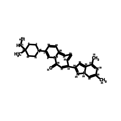 CCNC1(C)CCN(C2=CN3C(=O)\C=C(c4cc5c(C)nc(C)cn5n4)/C=C/C=C/3C=C2)CC1